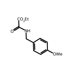 CCOC(=O)C(=O)NCc1ccc(OC)cc1